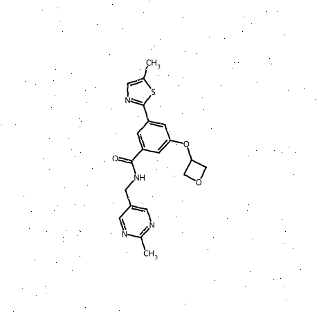 Cc1ncc(CNC(=O)c2cc(OC3COC3)cc(-c3ncc(C)s3)c2)cn1